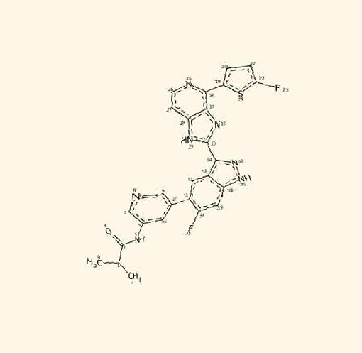 CC(C)C(=O)Nc1cncc(-c2cc3c(-c4nc5c(-c6ccc(F)s6)nccc5[nH]4)n[nH]c3cc2F)c1